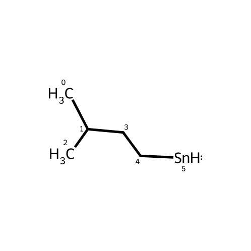 CC(C)C[CH2][SnH]